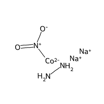 NN.O=[N+]([O-])[Co-2].[Na+].[Na+]